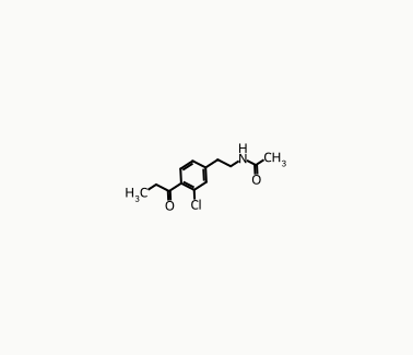 CCC(=O)c1ccc(CCNC(C)=O)cc1Cl